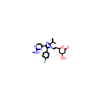 C=C(C)c1nc(-c2ccnc(NC)n2)c(-c2ccc(F)cc2)n1/C=C/C1CC(O)CC(=O)O1